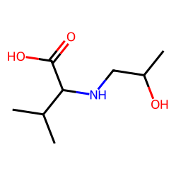 CC(O)CNC(C(=O)O)C(C)C